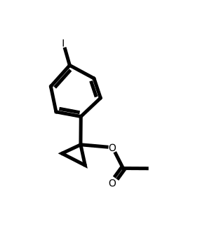 CC(=O)OC1(c2ccc(I)cc2)CC1